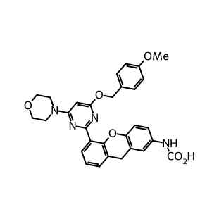 COc1ccc(COc2cc(N3CCOCC3)nc(-c3cccc4c3Oc3ccc(NC(=O)O)cc3C4)n2)cc1